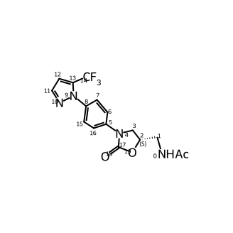 CC(=O)NC[C@H]1CN(c2ccc(-n3nccc3C(F)(F)F)cc2)C(=O)O1